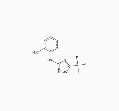 Cc1ccccc1Nc1nc(C(F)(F)F)cs1